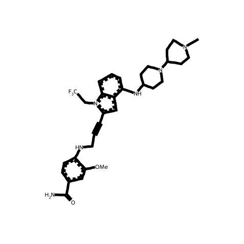 COc1cc(C(N)=O)ccc1NCC#Cc1cc2c(NC3CCN(C4CCN(C)CC4)CC3)cccc2n1CC(F)(F)F